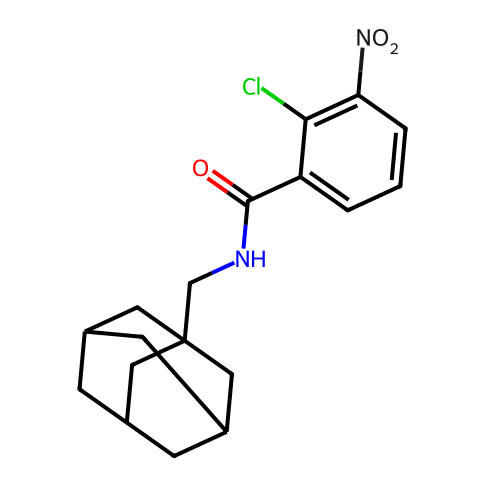 O=C(NCC12CC3CC(CC(C3)C1)C2)c1cccc([N+](=O)[O-])c1Cl